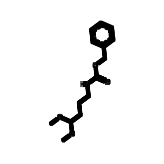 COC(CCCNC(=O)OCc1ccccc1)OC